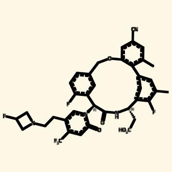 Cc1cc2cc(c1F)[C@H](CC(=O)O)NC(=O)[C@@H](n1cc(CCN3CC(F)C3)c(C(F)(F)F)cc1=O)c1cc(ccc1F)COc1cc(C#N)cc(C)c1-2